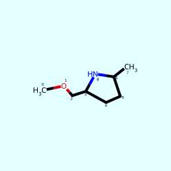 COCC1CCC(C)N1